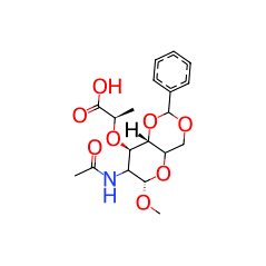 CO[C@H]1OC2COC(c3ccccc3)O[C@H]2[C@H](O[C@H](C)C(=O)O)C1NC(C)=O